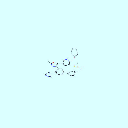 Cc1cn(-c2ccc(-c3cc(F)c(CO)c(S(C)(=O)=O)c3)cc2-c2nc(C)oc2-c2ccc(OC3CCCC3)nc2)c(C)n1